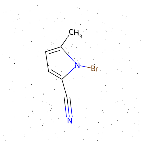 Cc1ccc(C#N)n1Br